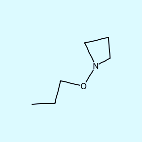 CCCON1CCC1